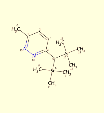 Cc1ccc(C([Si](C)(C)C)[Si](C)(C)C)nn1